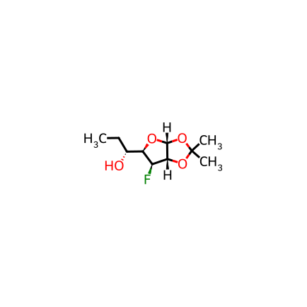 CC[C@@H](O)[C@H]1O[C@@H]2OC(C)(C)O[C@@H]2[C@H]1F